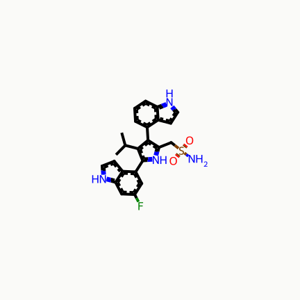 CC(C)c1c(-c2cc(F)cc3[nH]ccc23)[nH]c(CS(N)(=O)=O)c1-c1cccc2[nH]ccc12